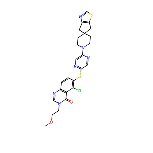 COCCn1cnc2ccc(Sc3cnc(N4CCC5(CC4)Cc4ncsc4C5)cn3)c(Cl)c2c1=O